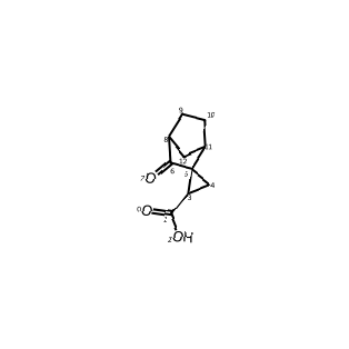 O=C(O)C1CC12C(=O)C1CCC2C1